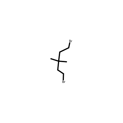 CC(C)(CCBr)CCBr